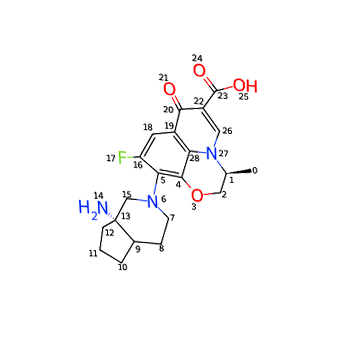 C[C@H]1COc2c(N3CCC4CCC[C@@]4(N)C3)c(F)cc3c(=O)c(C(=O)O)cn1c23